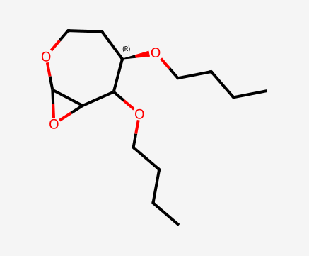 CCCCOC1C2OC2OCC[C@H]1OCCCC